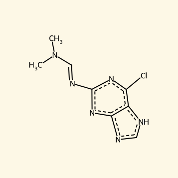 CN(C)C=Nc1nc(Cl)c2[nH]cnc2n1